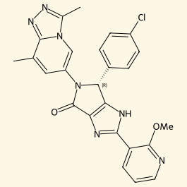 COc1ncccc1-c1nc2c([nH]1)[C@@H](c1ccc(Cl)cc1)N(c1cc(C)c3nnc(C)n3c1)C2=O